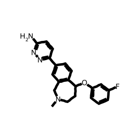 CN1CCC(Oc2cccc(F)c2)c2ccc(-c3ccc(N)nn3)cc2C1